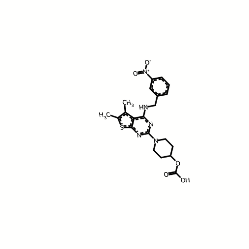 Cc1sc2nc(N3CCC(OC(=O)O)CC3)nc(NCc3cccc([N+](=O)[O-])c3)c2c1C